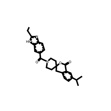 CCc1nc2ccc(C(=O)N3CCC4(CC3)Cc3ccc(C(C)C)cc3C(=O)O4)cc2[nH]1